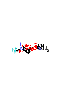 C=C(/C=C\C)C(=O)OCOC(=O)c1cccc2c1OB(O)[C@@H](NC(=O)CCC(F)(F)F)C2